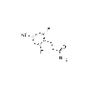 N#Cc1cc(F)c([CH]CC(N)=O)c(F)c1